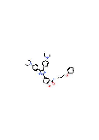 CCN(CC)c1ccc(C2N=C(c3ccc(O)c(C(=O)NCCCCOc4ccccc4)c3)NC2c2ccc(N(CC)CC)cc2)cc1